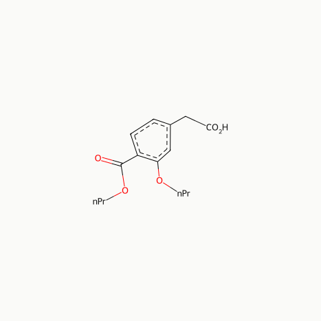 CCCOC(=O)c1ccc(CC(=O)O)cc1OCCC